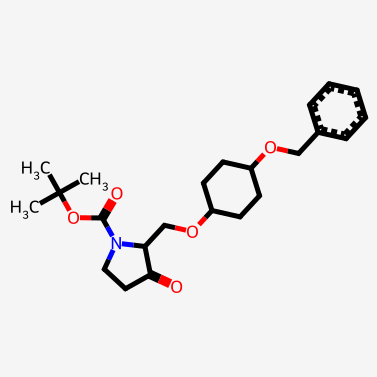 CC(C)(C)OC(=O)N1CCC(=O)C1COC1CCC(OCc2ccccc2)CC1